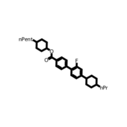 CCCCCC1CCC(OC(=O)c2ccc(-c3ccc(C4CCC(CCC)CC4)cc3F)cc2)CC1